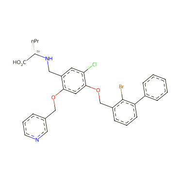 CCC[C@H](NCc1cc(Cl)c(OCc2cccc(-c3ccccc3)c2Br)cc1OCc1cccnc1)C(=O)O